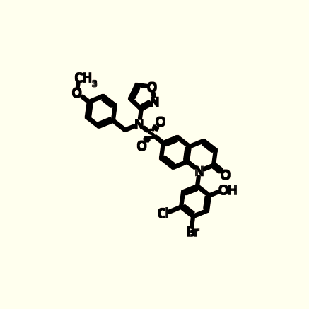 COc1ccc(CN(c2ccon2)S(=O)(=O)c2ccc3c(ccc(=O)n3-c3cc(Cl)c(Br)cc3O)c2)cc1